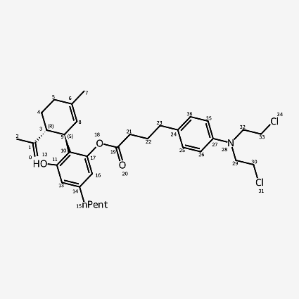 C=C(C)[C@@H]1CCC(C)=C[C@H]1c1c(O)cc(CCCCC)cc1OC(=O)CCCc1ccc(N(CCCl)CCCl)cc1